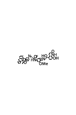 C=C(O[C@H]1CC[C@H](N(C)CCC(=O)Nc2cc(OC)c(CNC[C@H](O)c3ccc(O)c4[nH]c(=O)ccc34)cc2F)CC1)C(O)(c1cccs1)c1cccs1